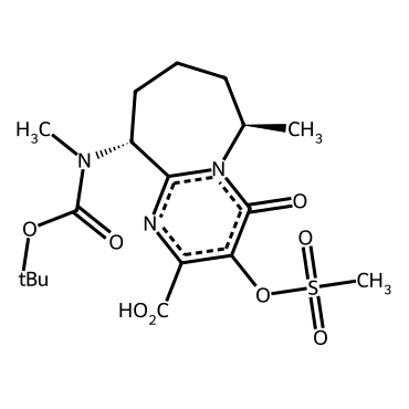 C[C@@H]1CCC[C@@H](N(C)C(=O)OC(C)(C)C)c2nc(C(=O)O)c(OS(C)(=O)=O)c(=O)n21